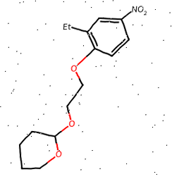 CCc1cc([N+](=O)[O-])ccc1OCCOC1CCCCO1